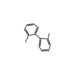 Cc1c[c]ccc1-c1ccccc1F